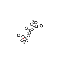 c1ccc(-c2ccc(N(c3ccc4cc5c6ccc(N(c7ccc(-c8ccccc8)cc7)c7cccc8sc9ccccc9c78)cc6n(-c6ccccc6)c5cc4c3)c3cccc4sc5ccccc5c34)cc2)cc1